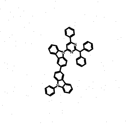 c1ccc(-c2cc(-n3c4ccccc4c4cc(-c5ccc6c(c5)c5ccccc5n6-c5ccccc5)ccc43)nc(C(c3ccccc3)c3ccccc3)n2)cc1